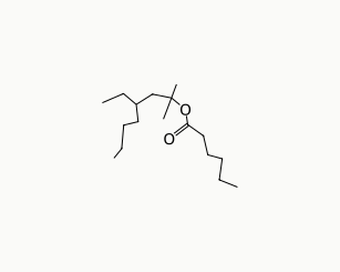 CCCCCC(=O)OC(C)(C)CC(CC)CCCC